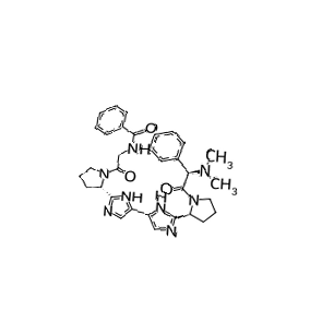 CN(C)[C@@H](C(=O)N1CCC[C@H]1c1ncc(-c2cnc([C@@H]3CCCN3C(=O)CNC(=O)c3ccccc3)[nH]2)[nH]1)c1ccccc1